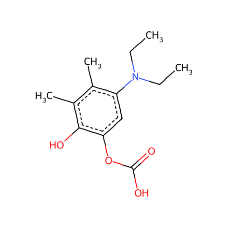 CCN(CC)c1cc(OC(=O)O)c(O)c(C)c1C